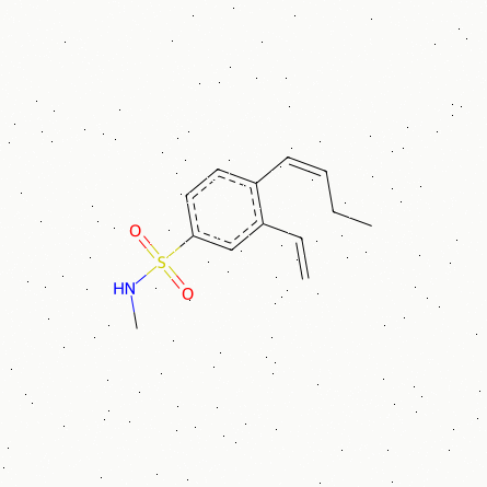 C=Cc1cc(S(=O)(=O)NC)ccc1/C=C\CC